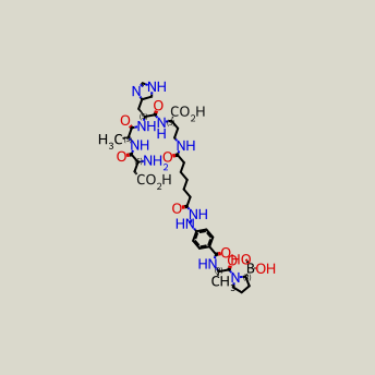 C[C@H](NC(=O)[C@@H](N)CC(=O)O)C(=O)N[C@@H](CC1CNC=N1)C(=O)N[C@@H](CCNC(=O)CCCCCC(=O)NNc1ccc(C(=O)N[C@H](C)C(=O)N2CCC[C@H]2B(O)O)cc1)C(=O)O